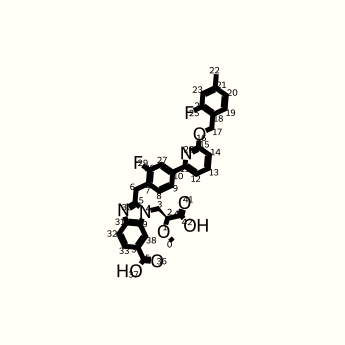 CO[C@@H](Cn1c(Cc2ccc(-c3cccc(OCc4ccc(C)cc4F)n3)cc2F)nc2ccc(C(=O)O)cc21)C(=O)O